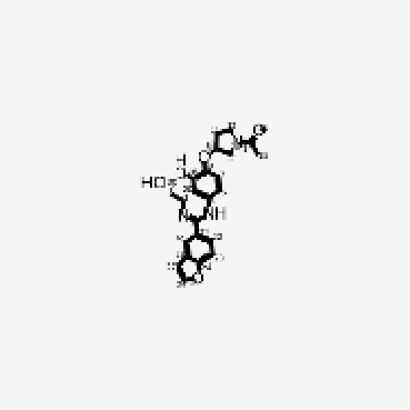 CCN=C(Nc1ccc(O[C@H]2CCN(C(C)=O)C2)c(O)c1)c1ccc2occc2c1.Cl